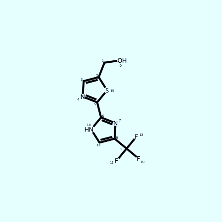 OCc1cnc(-c2nc(C(F)(F)F)c[nH]2)s1